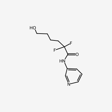 O=C(Nc1cccnc1)C(F)(F)CCCCO